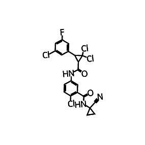 N#CC1(NC(=O)c2cc(NC(=O)C3C(c4cc(F)cc(Cl)c4)C3(Cl)Cl)ccc2Cl)CC1